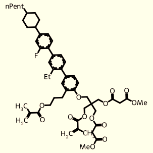 C=C(C)C(=O)OCCCc1cc(-c2ccc(-c3ccc(C4CCC(CCCCC)CC4)cc3F)cc2CC)ccc1OCC(COC(=O)CC(=O)OC)(COC(=O)CC(=O)OC)COC(=O)C(=C)C